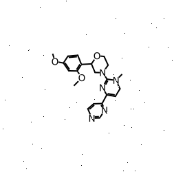 COc1ccc(C2CN(C3=NC(c4ccncn4)=CCN3C)CCO2)c(OC)c1